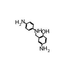 Nc1ccc(NCc2cc(N)ccc2O)cc1